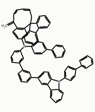 C=C1/C=C\C=C/CC2(c3cc(N(c4ccc(-c5ccccc5)cc4)c4cccc(-c5cccc(-c6ccc7c(c6)c6ccccc6n7-c6ccc(-c7ccccc7)cc6)c5)c4)ccc31)c1ccccc1-c1ccccc12